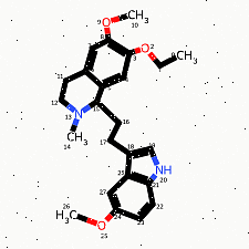 CCOc1cc2c(cc1OC)CCN(C)C2CCc1c[nH]c2ccc(OC)cc12